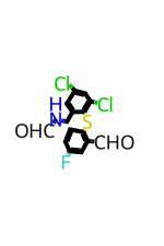 O=CNCc1cc(Cl)cc(Cl)c1Sc1ccc(F)cc1C=O